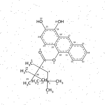 CC(C)(C)CC(C)(C(=O)Oc1c2ccccc2cc2c(O)c(O)ccc12)C(C)(C)C